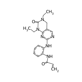 C=CC(=O)Nc1ccccc1Nc1ncc2c(n1)N(CC)C(=O)N(CC)C2